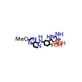 COc1cnc2c(Nc3ccc(F)c([C@]4(C)CS(O)(O)N(C)C(=N)N4)c3)nccc2n1